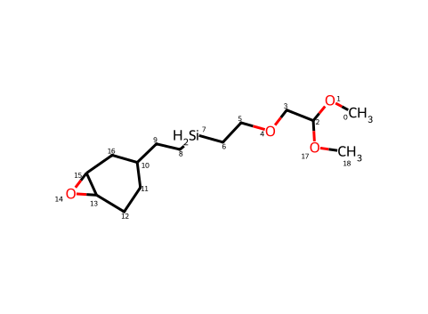 COC(COCC[SiH2]CCC1CCC2OC2C1)OC